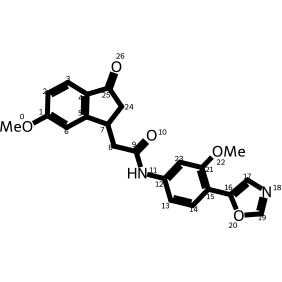 COc1ccc2c(c1)C(CC(=O)Nc1ccc(-c3cnco3)c(OC)c1)CC2=O